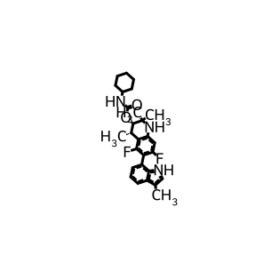 Cc1c[nH]c2c(-c3c(F)cc4c(c3F)[C@H](C)[C@@H](OC(=O)NC3CCCCC3)C(C)(C)N4)cccc12